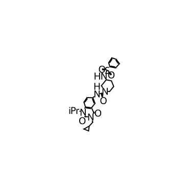 CC(C)n1c(=O)n(CC2CC2)c(=O)c2cc(NC(=O)N3CCCC(NS(=O)(=O)c4ccccc4)C3)ccc21